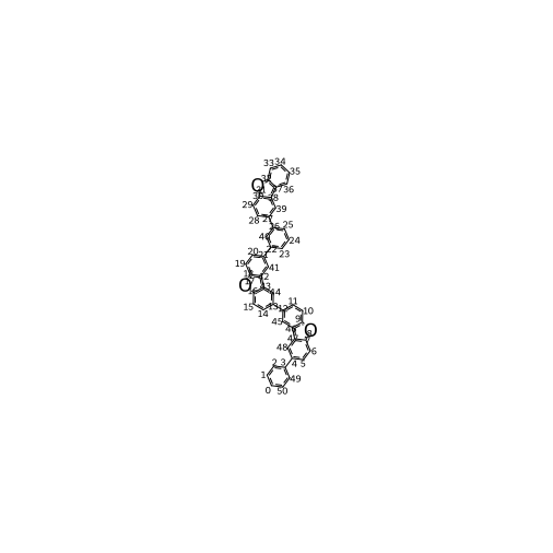 c1ccc(-c2ccc3oc4ccc(-c5ccc6oc7ccc(-c8cccc(-c9ccc%10oc%11ccccc%11c%10c9)c8)cc7c6c5)cc4c3c2)cc1